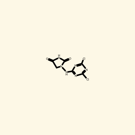 O=C1CN(Nc2nc(Cl)nc(Cl)n2)C(=O)N1